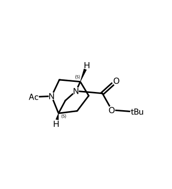 CC(=O)N1C[C@@H]2CC[C@H]1CN2C(=O)OC(C)(C)C